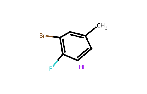 Cc1ccc(F)c(Br)c1.I